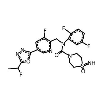 N=S1(=O)CCN(C(=O)N(Cc2ncc(-c3nnc(C(F)F)o3)cc2F)c2cc(F)ccc2F)CC1